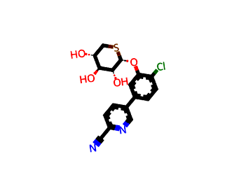 N#Cc1ccc(-c2ccc(Cl)c(O[C@H]3SC[C@@H](O)[C@H](O)[C@H]3O)c2)cn1